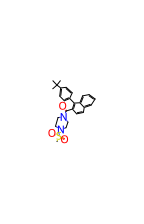 CC(C)(C)c1ccc(-c2c(C(=O)N3CCN(S(C)(=O)=O)CC3)ccc3ccccc23)cc1